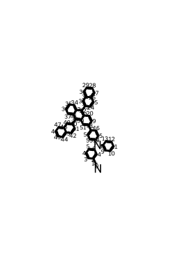 N#Cc1cccc(N(c2ccccc2)c2ccc(-c3ccc4c(-c5ccc6ccccc6c5)c5ccccc5c(-c5ccc6ccccc6c5)c4c3)cc2)c1